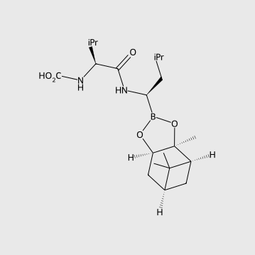 CC(C)C[C@H](NC(=O)[C@@H](NC(=O)O)C(C)C)B1O[C@@H]2C[C@@H]3C[C@@H](C3(C)C)[C@]2(C)O1